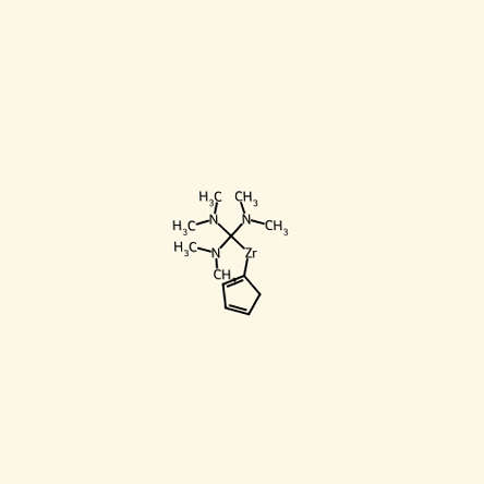 CN(C)[C]([Zr][C]1=CC=CC1)(N(C)C)N(C)C